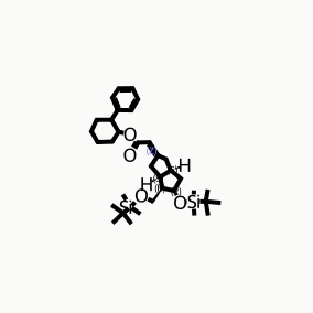 CC(C)(C)[Si](C)(C)OC[C@H]1[C@H]2C/C(=C\C(=O)OC3CCCCC3c3ccccc3)C[C@H]2C[C@H]1O[Si](C)(C)C(C)(C)C